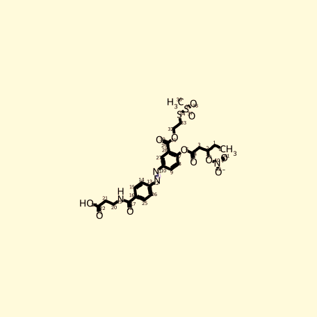 CCC(CC(=O)Oc1ccc(/N=N/c2ccc(C(=O)NCCC(=O)O)cc2)cc1C(=O)OCCSS(C)(=O)=O)O[N+](=O)[O-]